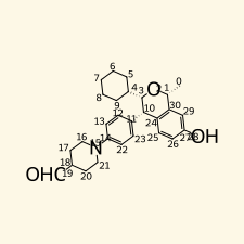 C[C@H]1O[C@@H](C2CCCCC2)[C@@H](c2ccc(N3CCC(C=O)CC3)cc2)c2ccc(O)cc21